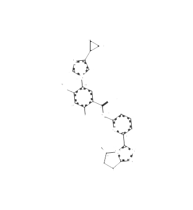 CCC[C@@H]1CCc2nnc(-c3cccc(NC(=O)c4cc(-n5cnc(C6CC6)c5)c(C)cc4F)n3)n21